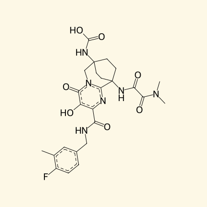 Cc1cc(CNC(=O)c2nc3n(c(=O)c2O)CC2(NC(=O)O)CCC3(NC(=O)C(=O)N(C)C)CC2)ccc1F